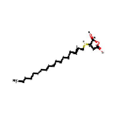 CCCCCCCCCCCCCCCC=CCSC1CC(=O)OC1=O